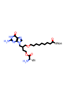 CCCCCCCCCC(=O)CCCCCCCCOCC(CCOC(=O)[C@@H](N)C(C)C)Cn1cnc2c(=O)[nH]c(N)nc21